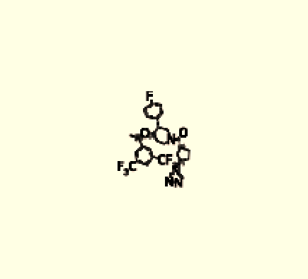 C[C@@H](O[C@H]1CCN(C(=O)[C@@H]2CC[C@@H](n3cnnc3)C2)CC1c1ccc(F)cc1)c1cc(C(F)(F)F)cc(C(F)(F)F)c1